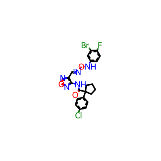 O=C(Nc1nonc1/C=N/ONc1ccc(F)c(Br)c1)C1(c2ccc(Cl)cc2)CCCC1